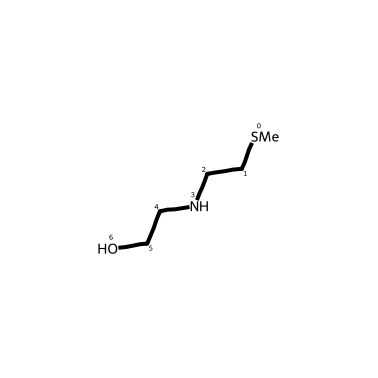 CSCCNCCO